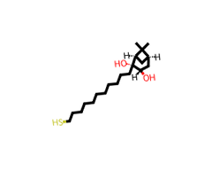 CC1(C)[C@@H]2C[C@H]1[C@](O)(CCCCCCCCCCCS)[C@@H](O)C2